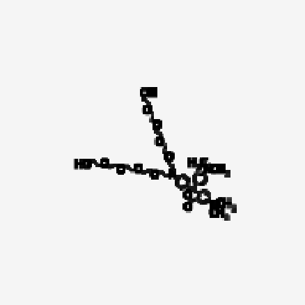 CN(C)c1ccc(C2(c3ccc(N(CCOCCOCCOCCOCCO)CCOCCOCCOCCOCCO)cc3)OC(=O)c3cc(N(C)C)ccc32)cc1